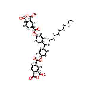 CCCCCCCCCCCC(c1ccc(OC(=O)c2ccc3c(c2)C(=O)OC3=O)cc1)c1ccc(OC(=O)c2ccc3c(c2)C(=O)OC3=O)cc1